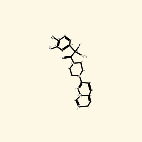 CC(F)(C(=O)N1CCN(C2=NN3C=NCC=C3C=C2)CC1)c1ccc(Cl)c(Cl)c1